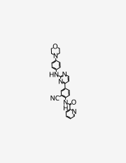 N#Cc1cc(-c2ccnc(Nc3ccc(N4CCOCC4)cc3)n2)ccc1NC(=O)c1ccccn1